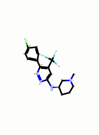 CN1CCC[C@@H](Nc2cc(C(F)(F)F)c(-c3ccc(Cl)cc3)nn2)C1